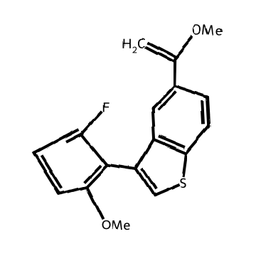 C=C(OC)c1ccc2scc(-c3c(F)cccc3OC)c2c1